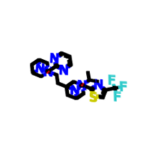 CC(C)N1CC2CC(CCN3CC4CC(C3)N4Cc3ncccn3)(C1)N2Cc1nc(C(F)(F)F)cs1